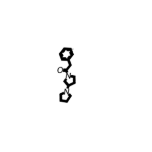 O=C(Cc1c[c]ccc1)N1CCC(N2CCCC2)C1